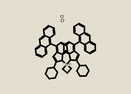 C1=C(C2CCCCC2)[CH]([Zr+2]2([CH]3C(C4CCCCC4)=Cc4c(-c5c6ccccc6cc6ccccc56)cccc43)[CH2]C[CH2]2)c2cccc(-c3c4ccccc4cc4ccccc34)c21.[Cl-].[Cl-]